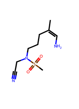 CC(=CN)CCCN(CC#N)S(C)(=O)=O